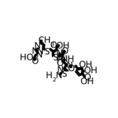 Cc1cc(SCC2=C(C(=O)O)N3C(=O)[C@@H](NC(=O)C(=NOCc4ccc(C(=O)O)c(O)c4O)c4csc(N)n4)[C@H]3SC2)n2nc(C(=O)O)nc2n1